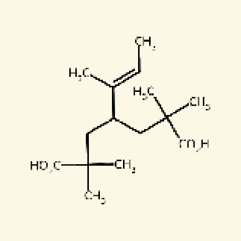 C/C=C(\C)C(CC(C)(C)C(=O)O)CC(C)(C)C(=O)O